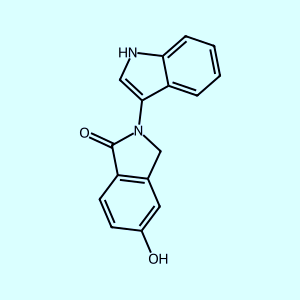 O=C1c2ccc(O)cc2CN1c1c[nH]c2ccccc12